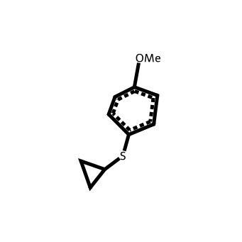 COc1ccc(SC2CC2)cc1